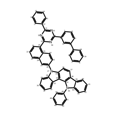 c1ccc(-c2cccc(-c3nc(-c4ccccc4)nc(-c4cccc5cc(-n6c7ccccc7c7c6ccc6c8ccccc8n(-c8ccccc8)c67)ccc45)n3)c2)cc1